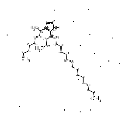 CCCCCCCCCCCCCCCCC(CCC)c1[nH]cc[n+]1C(C)CCCCCCC